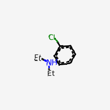 CCNCC.Clc1ccccc1